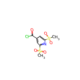 CS(=O)(=O)c1cc(C(=O)Cl)cc(S(C)(=O)=O)n1